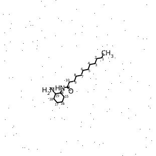 CCCCCCCCCCCC(=O)NC1CCCCC1N